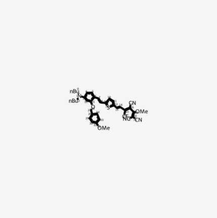 CCCCN(CCCC)c1ccc(/C=C/c2ccc(/C=C/C(=C(\C#N)C(OC)=C(C#N)C#N)C(F)(F)F)s2)c(OCc2ccc(OC)cc2)c1